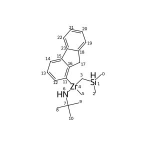 C[SiH](C)[CH2][Zr]([CH3])([NH]C(C)(C)C)[c]1cccc2c1Cc1ccccc1-2